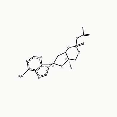 C=C(C)OP1(=S)OC[C@H]2O[C@@H](n3cnc4c(N)ncnc43)CC2O1